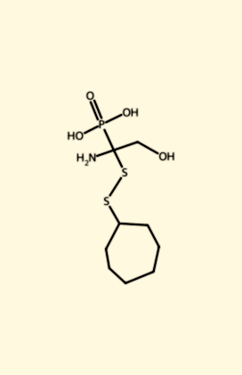 NC(CO)(SSC1CCCCCC1)P(=O)(O)O